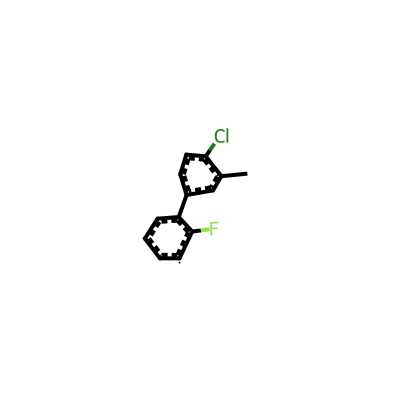 Cc1cc(-c2ccc[c]c2F)ccc1Cl